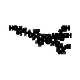 Cc1c(OCCCN2CC[C@@H](O)C2)cccc1-c1cccc2c1CCC2Oc1cc(OCc2cncc(C#N)c2)c(CNC(CCO)C(=O)O)cc1Cl